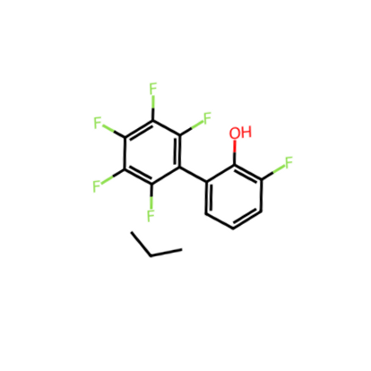 CCC.Oc1c(F)cccc1-c1c(F)c(F)c(F)c(F)c1F